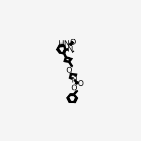 Cn1c(=O)[nH]c2cccc(C3CC(COC4CN(C(=O)OCc5ccccc5)C4)C3)c21